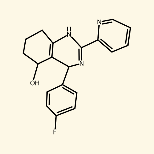 OC1CCCC2=C1C(c1ccc(F)cc1)N=C(c1ccccn1)N2